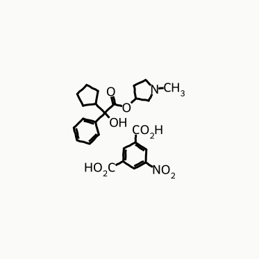 CN1CCC(OC(=O)C(O)(c2ccccc2)C2CCCC2)C1.O=C(O)c1cc(C(=O)O)cc([N+](=O)[O-])c1